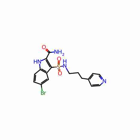 NC(=O)c1[nH]c2ccc(Br)cc2c1S(=O)(=O)NCCCc1ccncc1